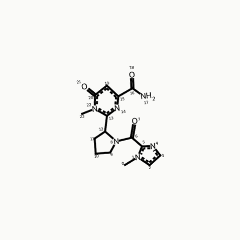 Cn1ccnc1C(=O)N1CCCC1c1nc(C(N)=O)cc(=O)n1C